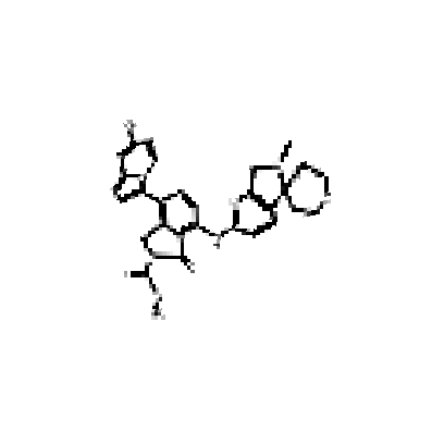 CN1Cc2nc(Nc3ccc(-c4cnc5cc(C#N)ccn45)c4c3C(=O)N(C(=O)OC(C)(C)C)C4)ccc2C12CCOCC2